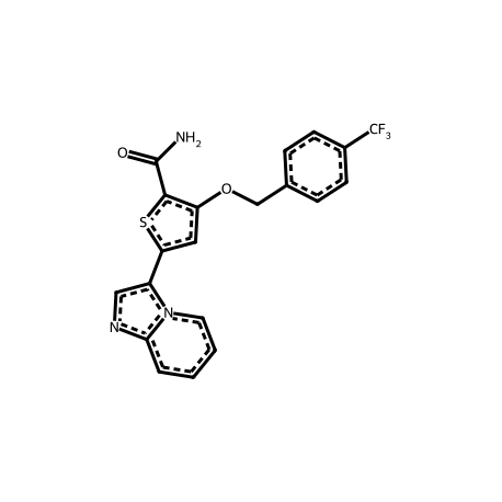 NC(=O)c1sc(-c2cnc3ccccn23)cc1OCc1ccc(C(F)(F)F)cc1